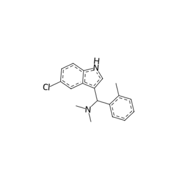 Cc1ccccc1C(c1c[nH]c2ccc(Cl)cc12)N(C)C